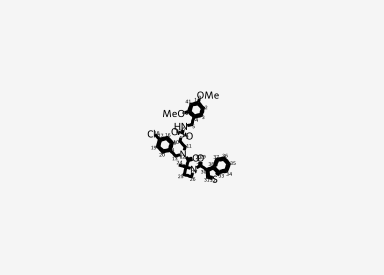 COc1ccc(CNS(=O)(=O)CCN(Cc2ccc(Cl)cc2)C(=O)C2(C)CCN2C(=O)c2csc3ccccc23)c(OC)c1